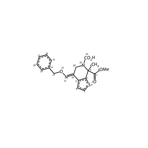 COC(=O)C1(C)c2sccc2C(=NOCc2ccccc2)CN1C(=O)O